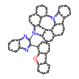 c1ccc2nc(-n3c4ccc5cccc6c5c4c4c5c(ccc7c8ccccc8n6c75)ccc43)c(-c3cccc4c3oc3ccccc34)nc2c1